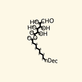 CCCCCCCCCCCCCCCCCC(=O)OC(=O)C(O)C(O)C(O)C(O)C=O